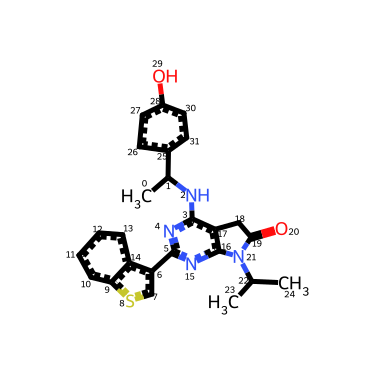 CC(Nc1nc(-c2csc3ccccc23)nc2c1CC(=O)N2C(C)C)c1ccc(O)cc1